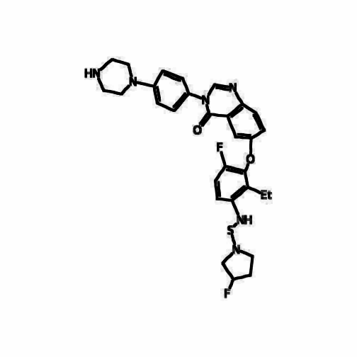 CCc1c(NSN2CCC(F)C2)ccc(F)c1Oc1ccc2ncn(-c3ccc(N4CCNCC4)cc3)c(=O)c2c1